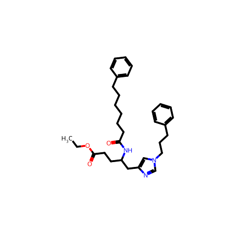 CCOC(=O)CCC(Cc1cn(CCCc2ccccc2)cn1)NC(=O)CCCCCCc1ccccc1